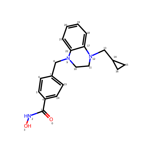 O=C(NO)c1ccc(CN2CCN(CC3CC3)c3ccccc32)cc1